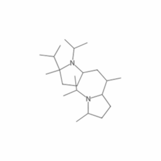 CC(CC1CCC(C)(C(C)C)N1C(C)C)C1CCC(C)N1C(C)C